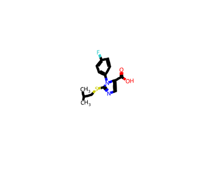 CC(C)CSc1ncc(C(=O)O)n1-c1ccc(F)cc1